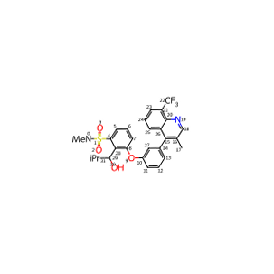 CNS(=O)(=O)c1cccc(Oc2cccc(-c3c(C)cnc4c(C(F)(F)F)cccc34)c2)c1C(O)C(C)C